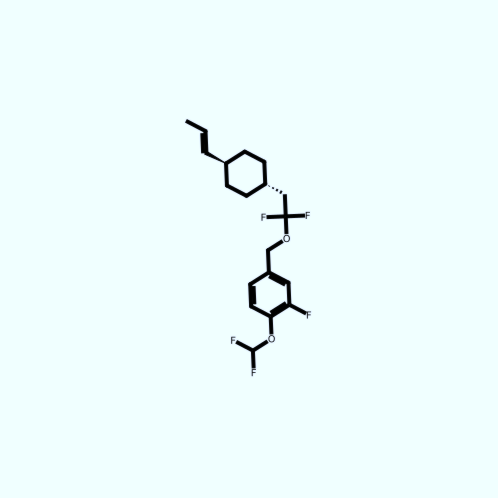 C/C=C/[C@H]1CC[C@H](CC(F)(F)OCc2ccc(OC(F)F)c(F)c2)CC1